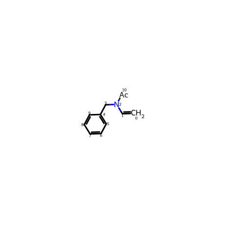 C=CN(Cc1ccccc1)C(C)=O